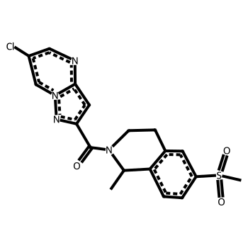 CC1c2ccc(S(C)(=O)=O)cc2CCN1C(=O)c1cc2ncc(Cl)cn2n1